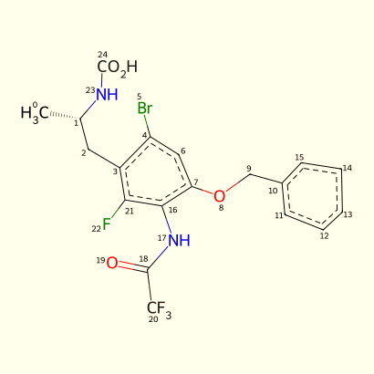 C[C@@H](Cc1c(Br)cc(OCc2ccccc2)c(NC(=O)C(F)(F)F)c1F)NC(=O)O